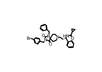 O=C(N[C@@H](CCN1CCC2(CC1)C(=O)N(Cc1ccc(Br)cc1)C(=O)N2Cc1ccccc1)c1ccccc1)C1CC1